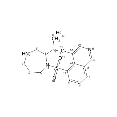 CCC1CNCCCN1S(=O)(=O)c1cccc2cncc(C)c12.Cl